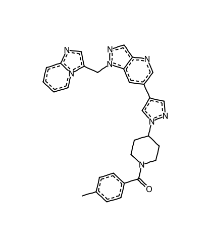 Cc1ccc(C(=O)N2CCC(n3cc(-c4cnc5cnn(Cc6cnc7ccccn67)c5c4)cn3)CC2)cc1